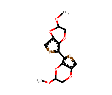 COC1COc2c(csc2-c2scc3c2OC(OC)CO3)O1